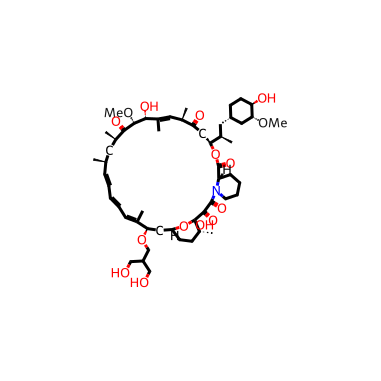 CO[C@@H]1C[C@H](C[C@@H](C)[C@@H]2CC(=O)[C@H](C)/C=C(\C)[C@@H](O)[C@@H](OC)C(=O)[C@H](C)C[C@H](C)/C=C/C=C/C=C(\C)[C@H](OCC(CO)CO)C[C@@H]3CC[C@@H](C)[C@@](O)(O3)C(=O)C(=O)N3CCCC[C@H]3C(=O)O2)CC[C@H]1O